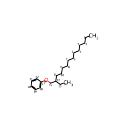 CCCCCCCCCCCCC(CC)COc1ccccc1